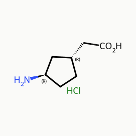 Cl.N[C@@H]1CC[C@@H](CC(=O)O)C1